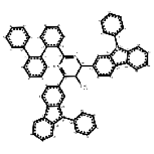 CC1C(c2ccc3c4ccccc4n(-c4ccccc4)c3c2)=NC(c2ccccc2-c2ccccc2-c2ccccc2)=NC1c1ccc2c3ccccc3n(-c3ccccc3)c2c1